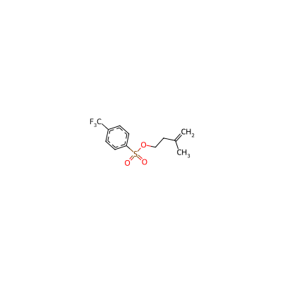 C=C(C)CCOS(=O)(=O)c1ccc(C(F)(F)F)cc1